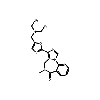 CC(C)CN(Cc1nnc(-c2ncn3c2CN(C)C(=O)c2ccccc2-3)o1)CC(C)C